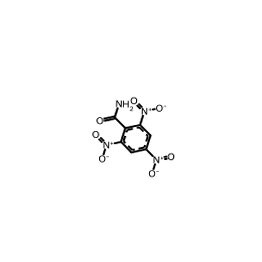 NC(=O)c1c([N+](=O)[O-])cc([N+](=O)[O-])cc1[N+](=O)[O-]